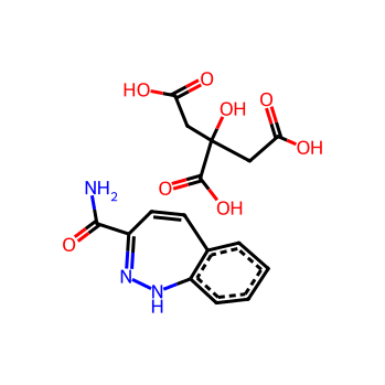 NC(=O)C1=NNc2ccccc2C=C1.O=C(O)CC(O)(CC(=O)O)C(=O)O